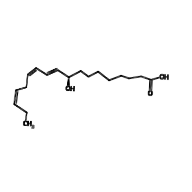 CC/C=C\C/C=C\C=C\[C@H](O)CCCCCCCC(=O)O